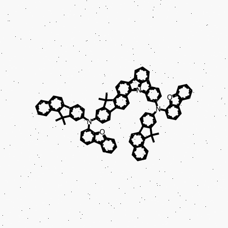 CC1(C)c2cc(N(c3ccc4c(c3)C(C)(C)c3c-4ccc4c3ccc3c5cccc6c7ccc(N(c8ccc9c(c8)C(C)(C)c8c-9ccc9ccccc89)c8cccc9c8oc8ccccc89)cc7n(c43)c65)c3cccc4c3oc3ccccc34)ccc2-c2ccc3ccccc3c21